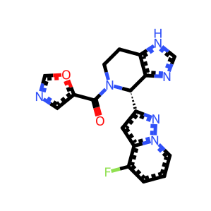 O=C(c1cnco1)N1CCc2[nH]cnc2[C@@H]1c1cc2c(F)cccn2n1